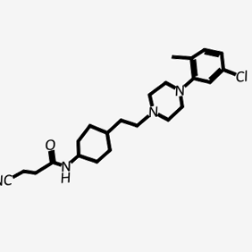 Cc1ccc(Cl)cc1N1CCN(CCC2CCC(NC(=O)CCC#N)CC2)CC1